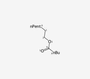 CCCCCCCOC(=O)CCCC